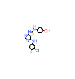 Oc1ccc(Nc2nc3ncnc(Nc4ccc(F)c(Cl)c4)c3s2)cc1